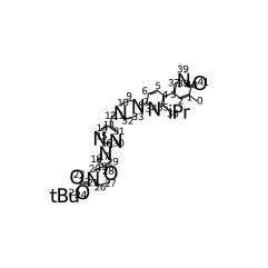 Cc1cc(-c2ccc(N3CCN(Cc4cnc(N5CC6(CN(C(=O)OC(C)(C)C)CCO6)C5)nc4)CC3)nc2C(C)C)cn(C)c1=O